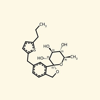 CCCc1ccc(Cc2ccc3c(c2)[C@]2(OC3)O[C@H](C)[C@@H](O)[C@H](O)[C@H]2O)s1